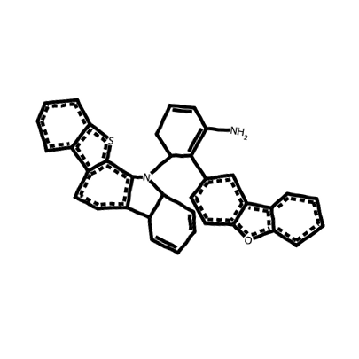 NC1=C(c2ccc3oc4ccccc4c3c2)C(N2c3c(ccc4c3sc3ccccc34)C3C=CC=CC32)CC=C1